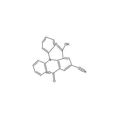 N#Cc1cc(C(=O)O)c(N(c2ccccc2)c2ccccc2)c(C(=O)O)c1